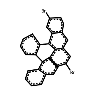 Brc1ccc2c(-c3ccccc3-c3cccc4ccccc34)c3cc(Br)ccc3cc2c1